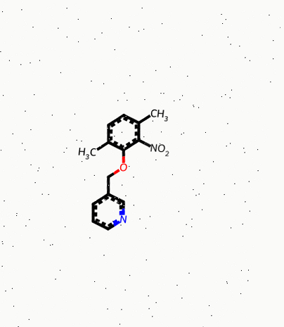 Cc1ccc(C)c([N+](=O)[O-])c1OCc1cccnc1